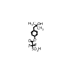 CC(C)(O)Cc1ccc(OC(=O)C(F)(F)S(=O)(=O)O)cc1